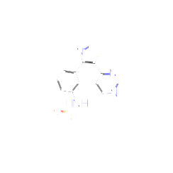 O=[SH](=O)Nc1cccc(-c2ncsc2-c2ccncn2)c1